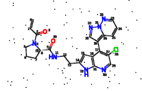 C=CC(=O)N1CCC[C@H]1C(=O)NCCc1cc2c(-c3cnn4ncccc34)c(Cl)cnc2[nH]1